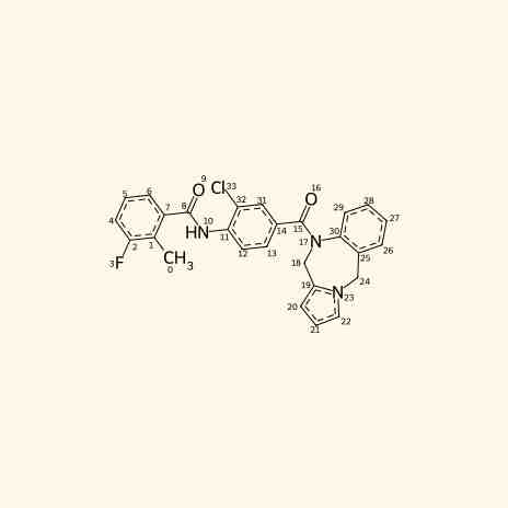 Cc1c(F)cccc1C(=O)Nc1ccc(C(=O)N2Cc3cccn3Cc3ccccc32)cc1Cl